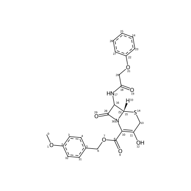 COc1ccc(COC(=O)C2=C(O)CS[C@H]3C(NC(=O)COc4ccccc4)C(=O)N23)cc1